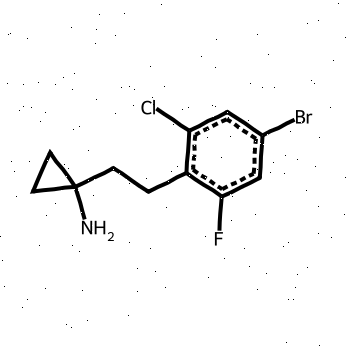 NC1(CCc2c(F)cc(Br)cc2Cl)CC1